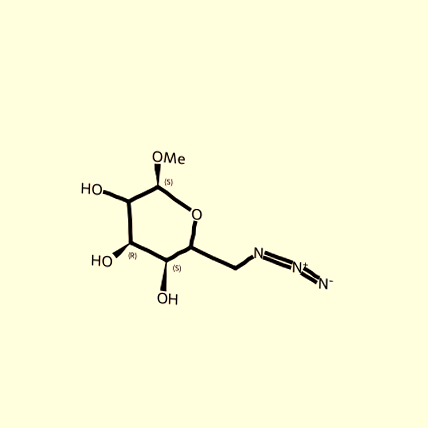 CO[C@H]1OC(CN=[N+]=[N-])[C@@H](O)[C@@H](O)C1O